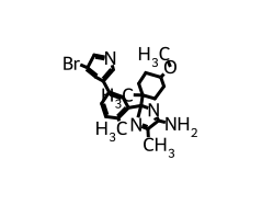 COC1CCC(C)(C2(c3cc(-c4cncc(Br)c4)ccc3C)N=C(C)C(N)=N2)CC1